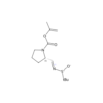 C=C(C)OC(=O)N1CCC[C@H]1/C=N/[S+]([O-])C(C)(C)C